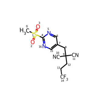 CS(=O)(=O)c1ncc(CC(C#N)(C#N)CCC(F)(F)F)cn1